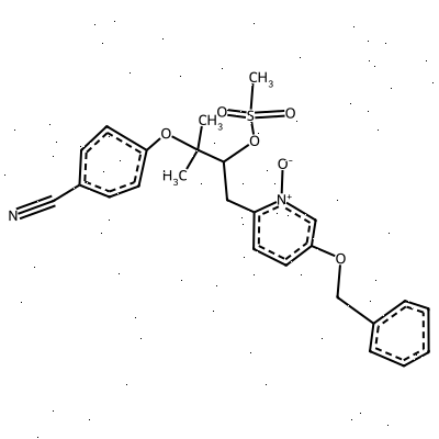 CC(C)(Oc1ccc(C#N)cc1)C(Cc1ccc(OCc2ccccc2)c[n+]1[O-])OS(C)(=O)=O